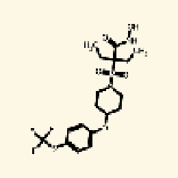 CCC(CC)(C(=O)NO)S(=O)(=O)N1CCC(Oc2ccc(SC(F)(F)F)cc2)CC1